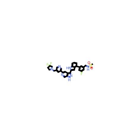 CS(=O)(=O)NCc1cc(F)cc(-c2cccc3[nH]c(-c4n[nH]c5cnc(-c6cncc(CN7CCC(F)(F)C7)c6)cc45)cc23)c1